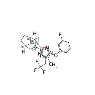 Cc1nnc(N2C[C@H]3CC[C@@H](C2)[C@H]3Nc2nc(Oc3cccc(F)c3)n(CC(F)(F)F)n2)o1